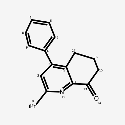 CC(C)c1cc(-c2ccccc2)c2c(n1)C(=O)CCC2